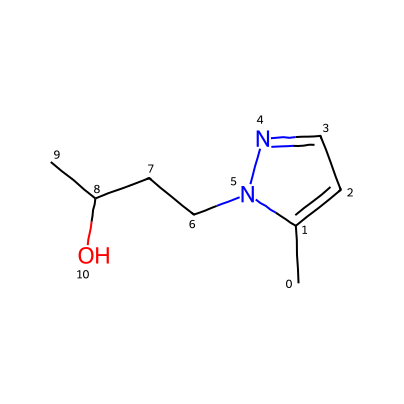 Cc1ccnn1CCC(C)O